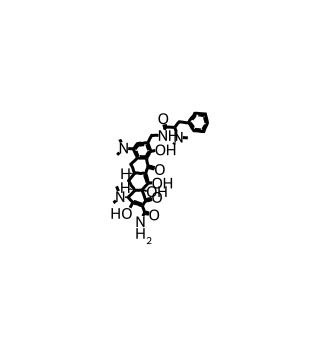 CN(C)c1cc(CNC(=O)C(Cc2ccccc2)N(C)C)c(O)c2c1C[C@@H]1C[C@@H]3[C@@H](N(C)C)C(O)=C(C(N)=O)C(=O)[C@@]3(O)C(O)=C1C2=O